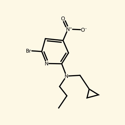 CCCN(CC1CC1)c1cc([N+](=O)[O-])cc(Br)n1